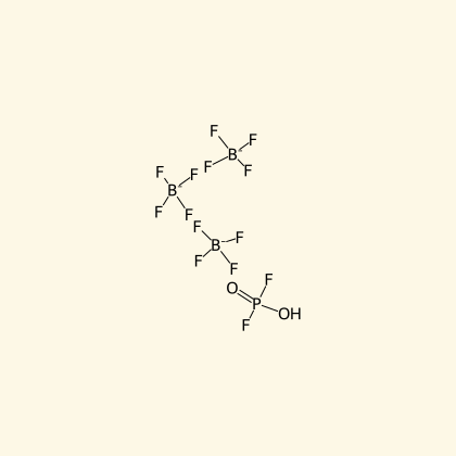 F[B-](F)(F)F.F[B-](F)(F)F.F[B-](F)(F)F.O=P(O)(F)F